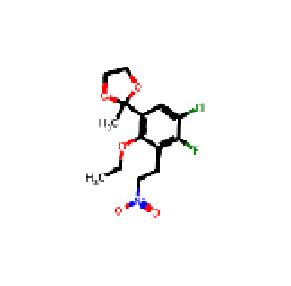 CCOc1c(C2(C)OCCO2)cc(Cl)c(F)c1CC[N+](=O)[O-]